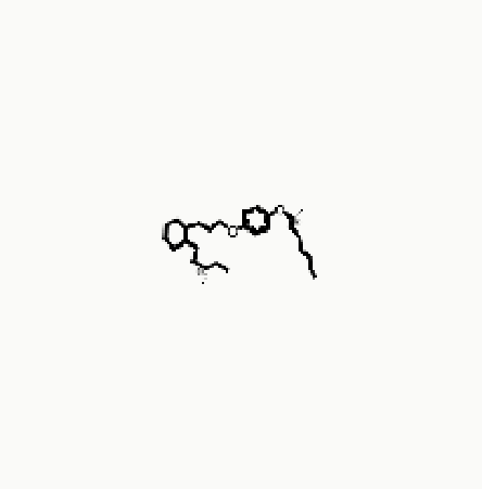 CCCCCC[C@@H](C)Oc1ccc(OCCCC2CCCCC2CC[C@@H](C)CC)cc1